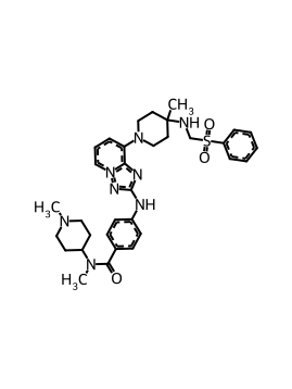 CN1CCC(N(C)C(=O)c2ccc(Nc3nc4c(N5CCC(C)(NCS(=O)(=O)c6ccccc6)CC5)cccn4n3)cc2)CC1